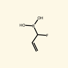 C=CC(F)B(O)O